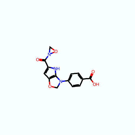 O=C(O)c1ccc(N2COc3cc(C(=O)N4CO4)[nH]c32)cc1